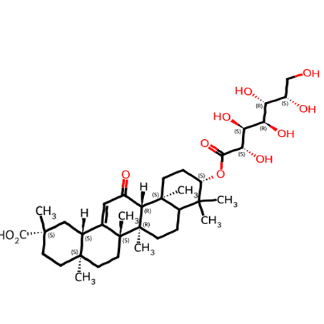 CC1(C)C2CC[C@]3(C)[C@H](C(=O)C=C4[C@H]5C[C@@](C)(C(=O)O)CC[C@]5(C)CC[C@]43C)[C@@]2(C)CC[C@@H]1OC(=O)[C@@H](O)[C@@H](O)[C@H](O)[C@H](O)[C@@H](O)CO